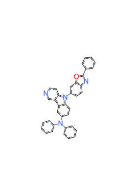 c1ccc(-c2nc3ccc(-n4c5ccncc5c5cc(N(c6ccccc6)c6ccccc6)ccc54)cc3o2)cc1